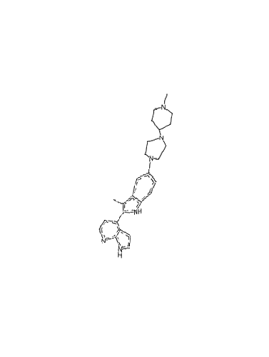 Cc1c(-c2ccnc3[nH]ccc23)[nH]c2ccc(N3CCN(C4CCN(C)CC4)CC3)cc12